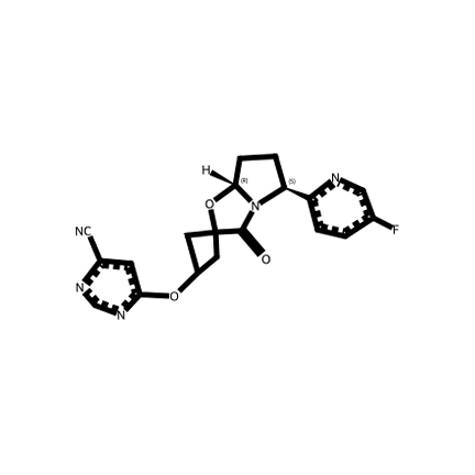 N#Cc1cc(OC2CC3(C2)O[C@@H]2CC[C@@H](c4ccc(F)cn4)N2C3=O)ncn1